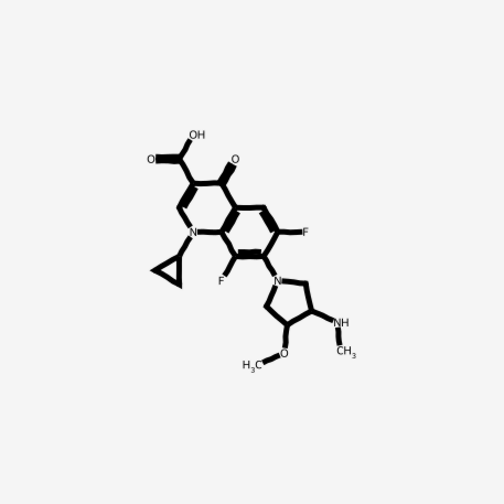 CNC1CN(c2c(F)cc3c(=O)c(C(=O)O)cn(C4CC4)c3c2F)CC1OC